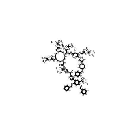 CCNC(=O)c1nnc(-c2cc(C(C)C)c(OCc3ccccc3)cc2OCc2ccccc2)n1-c1ccc(CC2CCN(C(=O)CNC(=O)[C@H](CCC(=O)OC(C)(C)C)NC(=O)CC[C@H](C(=O)OC(C)(C)C)N3CCN(CC(=O)OC(C)(C)C)CCN(CC(=O)OC(C)(C)C)CCN(CC(=O)OC(C)(C)C)CC3)CC2)cc1